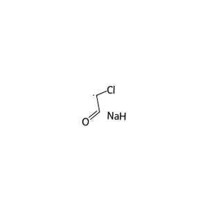 O=C[CH]Cl.[NaH]